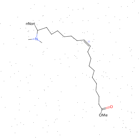 CCCCCCCCCC(CCCCCC/C=C\CCCCCCCCCC(=O)OC)N(C)C